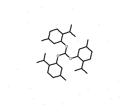 CC1CCC(C(C)C)C(OC(OC2CC(C)CCC2C(C)C)OC2CC(C)CCC2C(C)C)C1